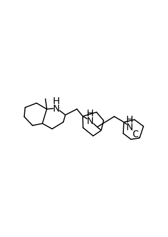 CC12CCCCC1CCC(CC13CCC(CC1)C(CC14CCC(CC1)CN4)N3)N2